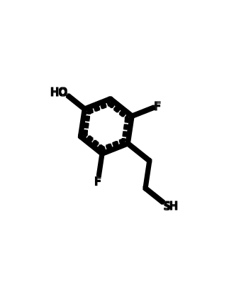 Oc1cc(F)c(CCS)c(F)c1